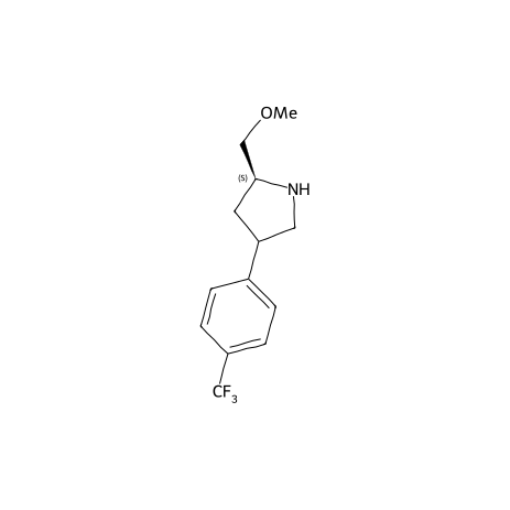 COC[C@@H]1CC(c2ccc(C(F)(F)F)cc2)CN1